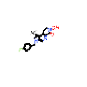 N#Cc1cn(Cc2ccc(F)cc2)c2cnc3c(c12)CCN(O)C3=O